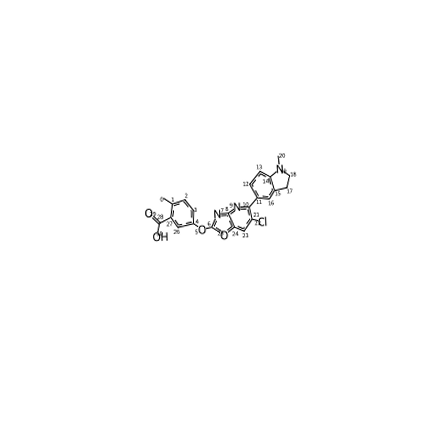 Cc1ccc(Oc2nc3nc(-c4ccc5c(c4)CCN5C)c(Cl)cc3o2)cc1C(=O)O